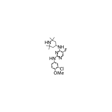 COc1ccc(Nc2ncc(F)c(NC3CC(C)(C)NC(C)(C)C3)n2)cc1Cl